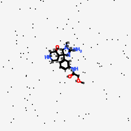 COCC(=O)Nc1cccc(C2(C3CCNCC3=O)CN(C)C(N)=N2)c1